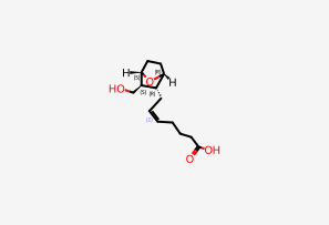 O=C(O)CCC/C=C\C[C@@H]1[C@@H](CO)[C@@H]2CC[C@H]1O2